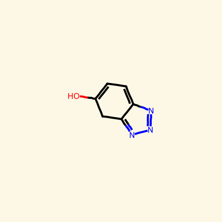 OC1=CC=C2N=NN=C2C1